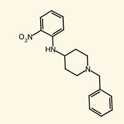 O=[N+]([O-])c1ccccc1NC1CCN(Cc2ccccc2)CC1